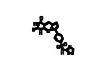 O=C1NC(=S)NC(=O)C1=Cc1ccc(-c2ccc(S(=O)(=O)Nc3nccs3)cc2)o1